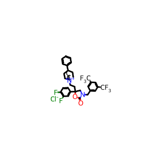 O=C1OC(CC[N+]23CCC(c4ccccc4)(CC2)CC3)(c2ccc(F)c(F)c2)CN1Cc1cc(C(F)(F)F)cc(C(F)(F)F)c1.[Cl-]